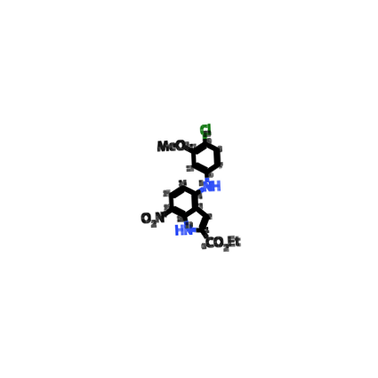 CCOC(=O)c1cc2c(Nc3ccc(Cl)c(OC)c3)ccc([N+](=O)[O-])c2[nH]1